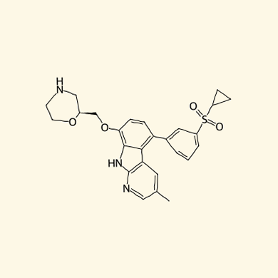 Cc1cnc2[nH]c3c(OC[C@@H]4CNCCO4)ccc(-c4cccc(S(=O)(=O)C5CC5)c4)c3c2c1